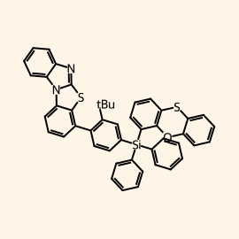 CC(C)(C)c1cc([Si](c2ccccc2)(c2ccccc2)c2cccc3c2Oc2ccccc2S3)ccc1-c1cccc2c1sc1nc3ccccc3n12